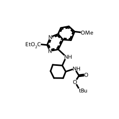 CCOC(=O)c1nc(NC2CCCCC2NC(=O)OC(C)(C)C)c2cc(OC)ccc2n1